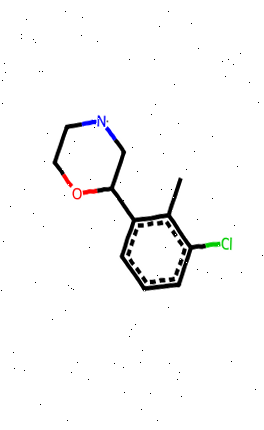 Cc1c(Cl)cccc1C1C[N]CCO1